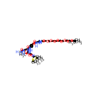 CC(C)C[C@H](NC(=O)CON=C(CSSC(C)C)CSC(C)(C)C)C(=O)N[C@@H](CCCNC(N)=O)C(=O)Nc1ccc(COC(=O)NCc2cn(CCOCCOCCOCCOCCOCCOCCOCCOCCOCCC(C)(C)C)nn2)cc1